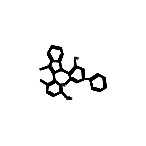 Cc1ccc(C(C)(C)C)cc1-c1n(-c2c(C(C)C)cc(-c3ccccc3)cc2C(C)C)c2ccccc2[n+]1C